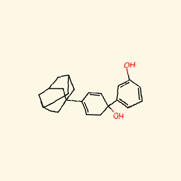 Oc1cccc(C2(O)C=CC(C34CC5CC(CC(C5)C3)C4)=CC2)c1